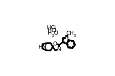 Cl.Cl.Cn1cc(C2=NCC3(CC4CCC(C3)N4)O2)c2ccccc21.O